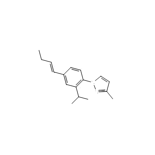 CC/C=C/c1ccc(-n2ccc(C)n2)c(C(C)C)c1